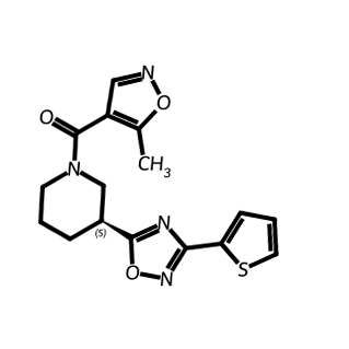 Cc1oncc1C(=O)N1CCC[C@H](c2nc(-c3cccs3)no2)C1